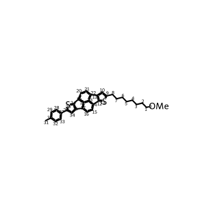 COCCCCCCCCc1cc2c(s1)-c1ccc3c4c(ccc-2c14)-c1sc(-c2ccc(C)cc2)cc1-3